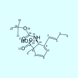 CCC=CC1=CC=CC(C)(S(=O)(=O)O)[C@H]1NC(=O)OC(C)(C)C